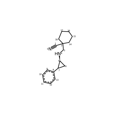 N#CC1(CN[C@H]2CC2c2ccccc2)CCCCC1